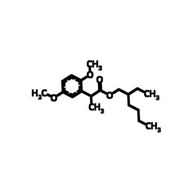 CCCCC(CC)COC(=O)C(C)c1cc(OC)ccc1OC